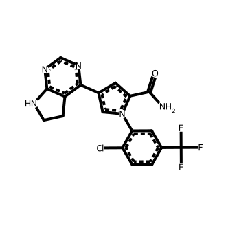 NC(=O)c1cc(-c2ncnc3c2CCN3)cn1-c1cc(C(F)(F)F)ccc1Cl